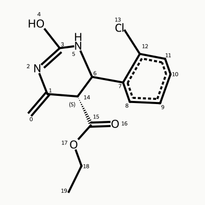 C=C1N=C(O)NC(c2ccccc2Cl)[C@@H]1C(=O)OCC